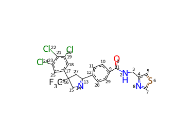 O=C(NCc1cscn1)c1ccc(C2=NCC(c3cc(Cl)c(Cl)c(Cl)c3)(C(F)(F)F)C2)cc1